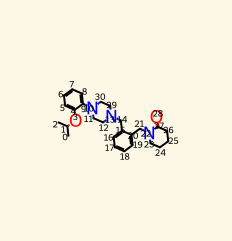 CC(C)Oc1ccccc1N1CCN(Cc2ccccc2CN2CCCCC2=O)CC1